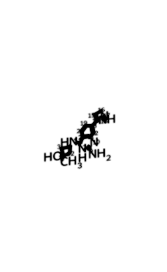 C[C@]1(O)C[C@H](NC2NC(N)=Nc3cc(-c4ccn[nH]4)ccc32)C1